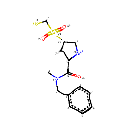 CN(Cc1ccccc1)C(=O)[C@H]1C[C@H](S(=O)(=O)CS)CN1